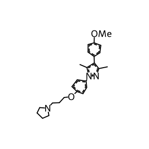 COc1ccc(-c2c(C)nn(-c3ccc(OCCCN4CCCC4)cc3)c2C)cc1